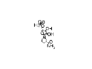 COP(=O)(O)OC[C@H]1O[C@H](N2C=CCC(C(N)=O)=C2)[C@H](O)[C@@H]1O